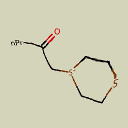 CCCC(=O)C[S+]1CCSCC1